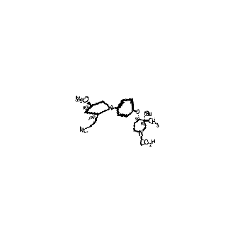 CO[C@@H]1C[C@H](CC#N)N(c2ccc(O[C@H]3CCN(C(=O)O)C[C@@]3(C)C(C)(C)C)cc2)C1